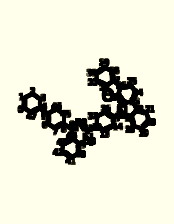 C1=CCCC(C2=CC=C(c3nc(C4C=CC(n5c6ccccc6c6ccc7c8ccccc8oc7c65)=CC4)nc4ccccc34)CC2)=C1